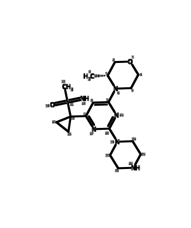 C[C@@H]1COCCN1c1cc(C2(S(C)(=N)=O)CC2)nc(N2CCNCC2)n1